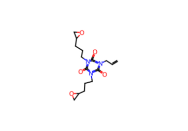 C=CCn1c(=O)n(CCCC2CO2)c(=O)n(CCCC2CO2)c1=O